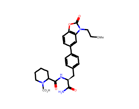 COCCn1c(=O)oc2ccc(-c3ccc(C[C@H](NC(=O)C4CCCCN4C(=O)O)C(N)=O)cc3)cc21